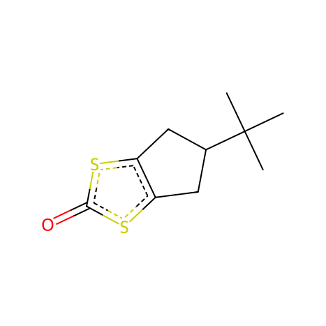 CC(C)(C)C1Cc2sc(=O)sc2C1